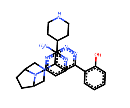 Nc1nnc(-c2ccccc2O)cc1N1CC2CCC(C1)N2c1ccnc(C2CCNCC2)n1